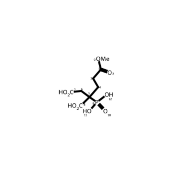 COC(=O)CCC(CC(=O)O)(C(=O)O)P(=O)(O)O